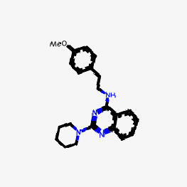 COc1ccc(CCNc2nc(N3CCCCC3)nc3ccccc23)cc1